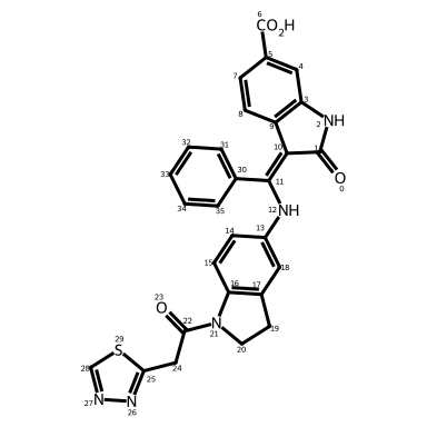 O=C1Nc2cc(C(=O)O)ccc2/C1=C(/Nc1ccc2c(c1)CCN2C(=O)Cc1nncs1)c1ccccc1